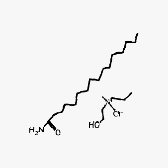 CCCCCCCCCCCCCCCC(N)=O.CCC[N+](C)(C)CCO.[Cl-]